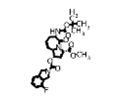 COC(=O)[C@@H]1C[C@@H](OC(=O)N2Cc3cccc(F)c3C2)C2C=CC[C@H](NC(=O)OC(C)(C)C)C(=O)N21